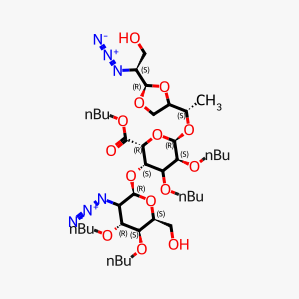 CCCCOC(=O)[C@@H]1O[C@@H](O[C@@H](C)C2CO[C@@H]([C@H](CO)N=[N+]=[N-])O2)[C@@H](OCCCC)C(OCCCC)[C@@H]1O[C@H]1O[C@@H](CO)[C@@H](OCCCC)[C@H](OCCCC)C1N=[N+]=[N-]